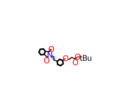 CC(C)(C)OC(=O)CCOc1cccc(/C=C/N2C(=O)c3ccccc3C2=O)c1